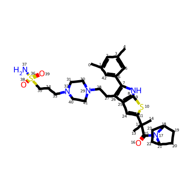 Cc1cc(C)cc(-c2[nH]c3sc(C(C)(C)C(=O)N4C5CCC4CC5)cc3c2CCN2CCN(CCCS(N)(=O)=O)CC2)c1